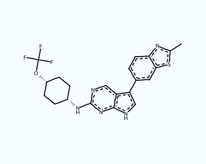 Cc1nc2ccc(-c3c[nH]c4nc(N[C@H]5CC[C@@H](OC(F)(F)F)CC5)ncc34)cc2s1